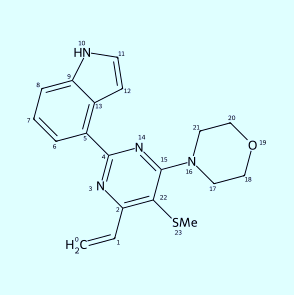 C=Cc1nc(-c2cccc3[nH]ccc23)nc(N2CCOCC2)c1SC